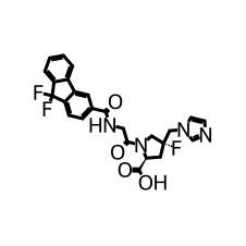 O=C(NCC(=O)N1C[C@@](F)(Cn2ccnc2)C[C@H]1C(=O)O)c1ccc2c(c1)-c1ccccc1C2(F)F